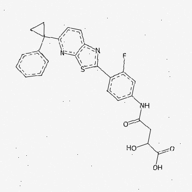 O=C(CC(O)C(=O)O)Nc1ccc(-c2nc3ccc(C4(c5ccccc5)CC4)nc3s2)c(F)c1